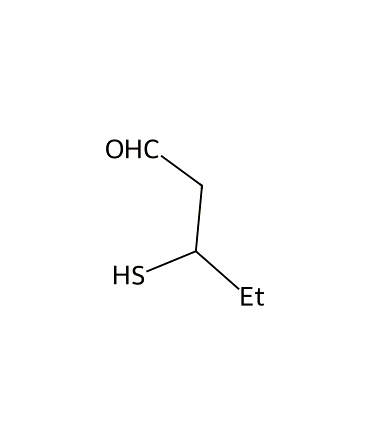 CCC(S)CC=O